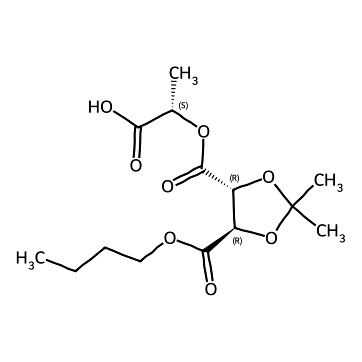 CCCCOC(=O)[C@@H]1OC(C)(C)O[C@H]1C(=O)O[C@@H](C)C(=O)O